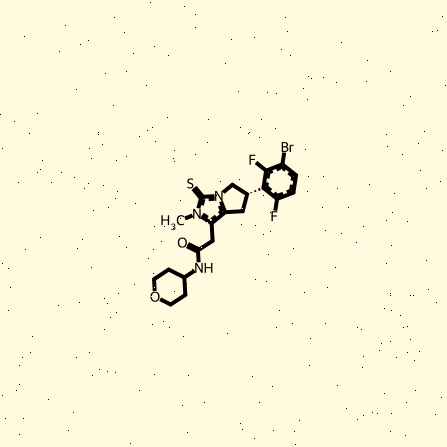 Cn1c(CC(=O)NC2CCOCC2)c2n(c1=S)C[C@H](c1c(F)ccc(Br)c1F)C2